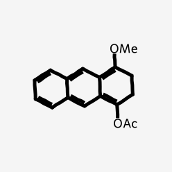 COC1=c2cc3ccccc3cc2=C(OC(C)=O)CC1